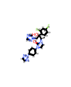 C[C@@H](n1ccn(-c2ccc(-n3nccn3)cc2)c1=O)[C@](O)(Cn1cncn1)c1ccc(F)cc1F